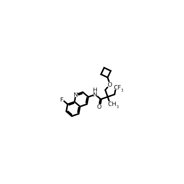 CC(COC1CCC1)(CC(F)(F)F)C(=O)Nc1cnc2c(F)cccc2c1